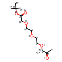 CC(=O)[C@H](C)OCCOCCOCC(=O)OC(C)(C)C